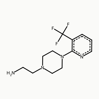 NCCN1CCN(c2ncccc2C(F)(F)F)CC1